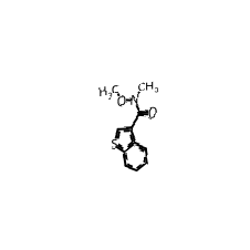 CON(C)C(=O)c1csc2ccccc12